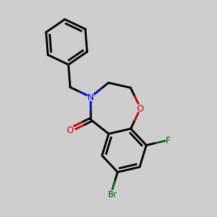 O=C1c2cc(Br)cc(F)c2OCCN1Cc1ccccc1